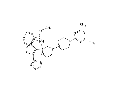 COC(=O)Cn1ccc(-c2cccs2)c1C1(Nc2ccccc2)CC(N2CCN(c3cc(C)cc(C)n3)CC2)CCO1